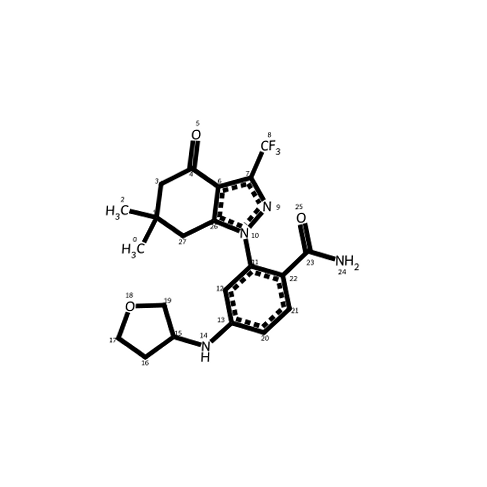 CC1(C)CC(=O)c2c(C(F)(F)F)nn(-c3cc(NC4CCOC4)ccc3C(N)=O)c2C1